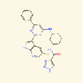 O=C(N[C@H]1CCC[C@@H](Nc2cc(-c3ccccc3)nc(-c3c[nH]c4ncc(F)cc34)n2)C1)c1c[nH]nn1